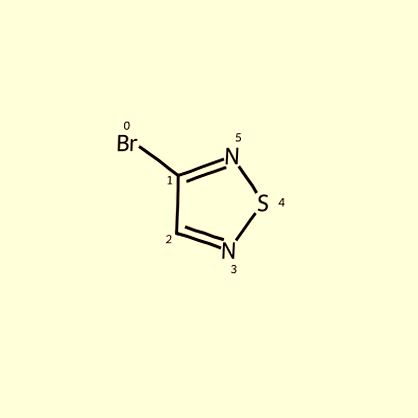 Brc1cnsn1